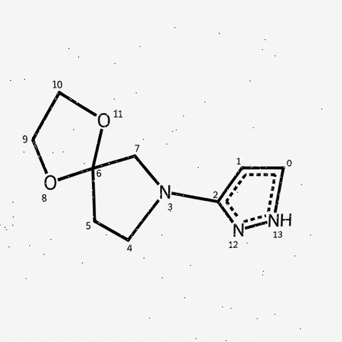 c1cc(N2CCC3(C2)OCCO3)n[nH]1